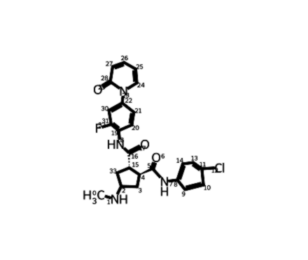 CNC1C[C@H](C(=O)Nc2ccc(Cl)cc2)[C@@H](C(=O)Nc2ccc(-n3ccccc3=O)cc2F)C1